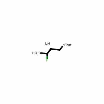 CCCCCCCC(F)S(=O)(=O)O.[LiH]